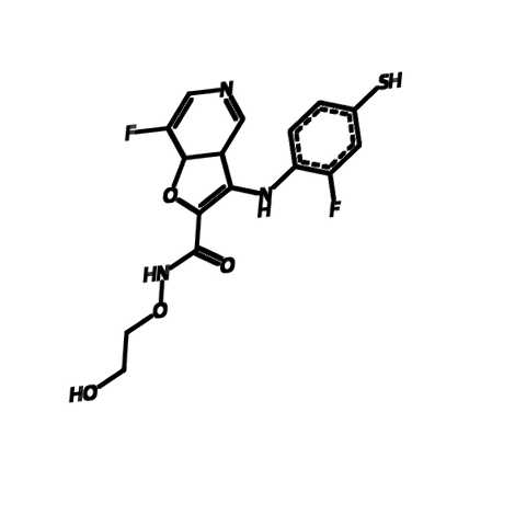 O=C(NOCCO)C1=C(Nc2ccc(S)cc2F)C2C=NC=C(F)C2O1